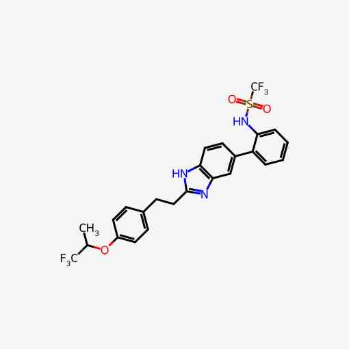 CC(Oc1ccc(CCc2nc3cc(-c4ccccc4NS(=O)(=O)C(F)(F)F)ccc3[nH]2)cc1)C(F)(F)F